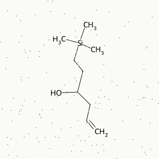 C=CCC(O)CC[Si](C)(C)C